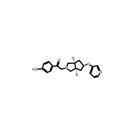 O=C(CN1C[C@H]2C[C@@H](Oc3cccnc3)C[C@H]2C1)c1ccc(O)cc1